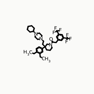 CCc1ccc(C2(CCN3CCN(C4CCCCC4)CC3)CCCN(C(=O)Cc3cc(C(F)(F)F)cc(C(F)(F)F)c3)C2)cc1CC